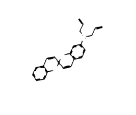 C=CCN(CC=C)c1ccc2c(c1)OC1(C=Cc3ccccc3O1)C=C2